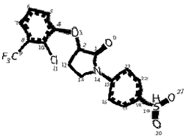 O=C1C(Oc2cccc(C(F)(F)F)c2Cl)CCN1c1ccc([SH](=O)=O)cc1